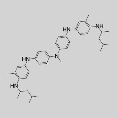 Cc1cc(Nc2ccc(N(C)c3ccc(Nc4ccc(NC(C)CC(C)C)c(C)c4)cc3)cc2)ccc1NC(C)CC(C)C